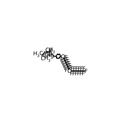 CCC(C)(C)CC(C)(C)C(=O)OCCc1ccc(OC(F)(F)C(F)(F)C(F)(F)C(F)(F)C(F)(F)C(F)(F)OC(F)(F)C(F)(F)C(F)(F)C(F)(F)C(F)(F)C(F)(F)F)cc1